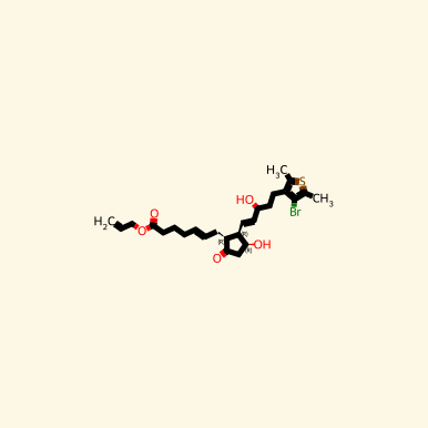 C=CCOC(=O)CCCC=CC[C@H]1C(=O)C[C@@H](O)[C@@H]1C=CC(O)CCc1c(C)sc(C)c1Br